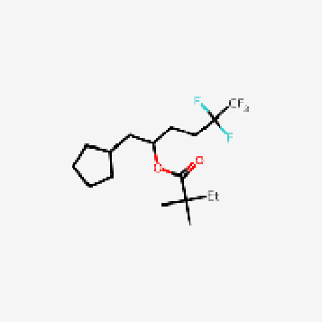 CCC(C)(C)C(=O)OC(CCC(F)(F)C(F)(F)F)CC1CCCC1